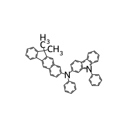 CC1(C)c2ccccc2-c2cc3ccc(N(c4ccccc4)c4ccc5c6ccccc6n(-c6ccccc6)c5c4)cc3cc21